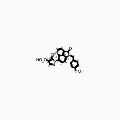 COc1ccc(CN2C(=O)c3ccnc4c(-n5ncc(C(=O)O)c5C(F)(F)F)ccc2c34)cc1